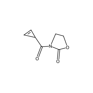 O=C1OCCN1C(=O)C1C=C1